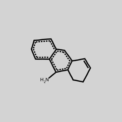 Nc1c2c(cc3ccccc13)C=CCC2